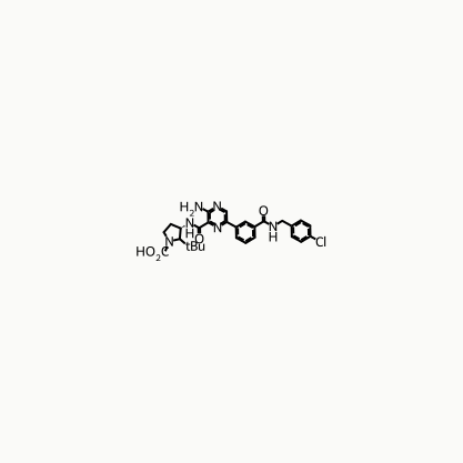 CC(C)(C)C1[C@@H](NC(=O)c2nc(-c3cccc(C(=O)NCc4ccc(Cl)cc4)c3)cnc2N)CCN1C(=O)O